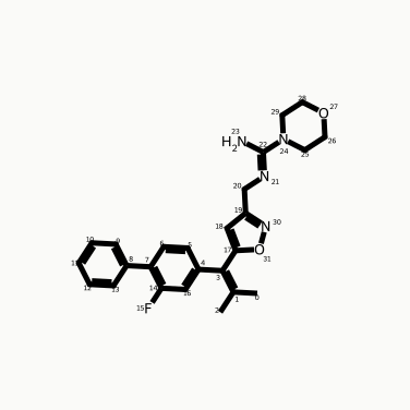 CC(C)=C(c1ccc(-c2ccccc2)c(F)c1)c1cc(C/N=C(\N)N2CCOCC2)no1